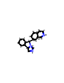 c1ccc2c(c1)-c1cncn1C2c1ccc2ccncc2c1